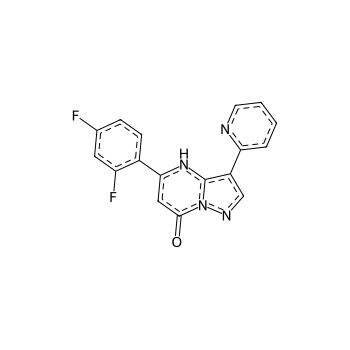 O=c1cc(-c2ccc(F)cc2F)[nH]c2c(-c3ccccn3)cnn12